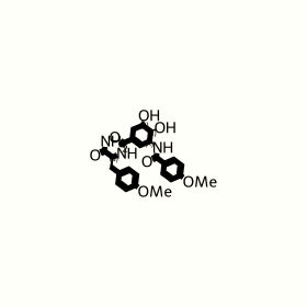 COc1ccc(C[C@H](NC(=O)C2=C[C@@H](NC(=O)c3ccc(OC)cc3)[C@@H](O)[C@H](O)C2)C(N)=O)cc1